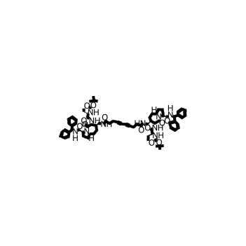 CC[C@H](NC(=O)OC(C)(C)C)C(=O)N[C@@H]1C(=O)N2[C@@H](CC[C@@H]1CNC(=O)CCC#CC#CCCC(=O)NC[C@H]1CC[C@H]3CC[C@@H](C(=O)NC(c4ccccc4)c4ccccc4)N3C(=O)[C@H]1NC(=O)[C@H](CC)NC(=O)OC(C)(C)C)CC[C@H]2C(=O)NC(c1ccccc1)c1ccccc1